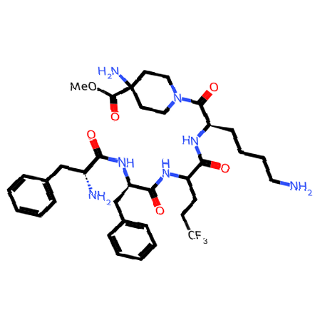 COC(=O)C1(N)CCN(C(=O)[C@@H](CCCCN)NC(=O)C(CCC(F)(F)F)NC(=O)[C@@H](Cc2ccccc2)NC(=O)[C@H](N)Cc2ccccc2)CC1